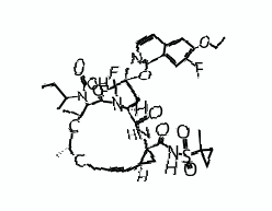 CCOc1cc2ccnc(O[C@]3(C)C[C@H]4C(=O)N[C@]5(C(=O)NS(=O)(=O)C6(C)CC6)C[C@H]5/C=C\CC[C@H](C)C[C@@H](C)[C@H](N(C(=O)O)C(C)CC)C(=O)N4C3(F)F)c2cc1F